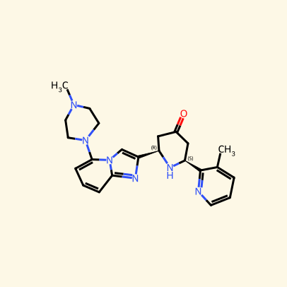 Cc1cccnc1[C@@H]1CC(=O)C[C@H](c2cn3c(N4CCN(C)CC4)cccc3n2)N1